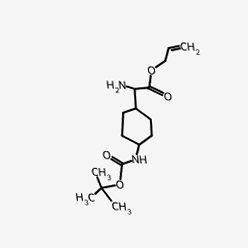 C=CCOC(=O)C(N)C1CCC(NC(=O)OC(C)(C)C)CC1